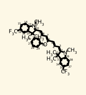 CN1/C(=C/C=C/C(=C/C=C/C2=[N+](C)c3ccc(C(F)(F)F)cc3C2(C)C)Oc2ccccc2)C(C)(C)c2cc(C(F)(F)F)ccc21